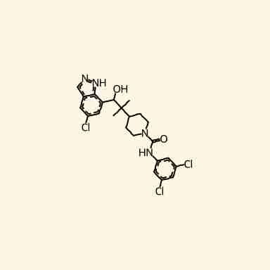 CC(C)(C1CCN(C(=O)Nc2cc(Cl)cc(Cl)c2)CC1)C(O)c1cc(Cl)cc2cn[nH]c12